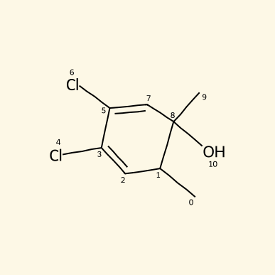 CC1C=C(Cl)C(Cl)=CC1(C)O